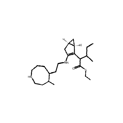 CCOC(=O)C(C1=C(NCCC2CCCNCCC2C)C[C@H]2C[C@@H]12)C(C)CC